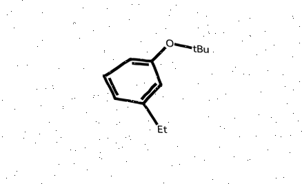 CCc1cccc(OC(C)(C)C)c1